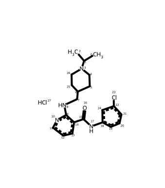 CC(C)N1CCC(CNc2ncccc2C(=O)Nc2cccc(Cl)c2)CC1.Cl